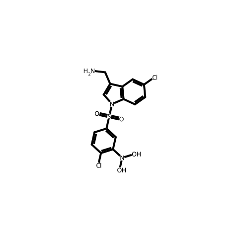 NCc1cn(S(=O)(=O)c2ccc(Cl)c(N(O)O)c2)c2ccc(Cl)cc12